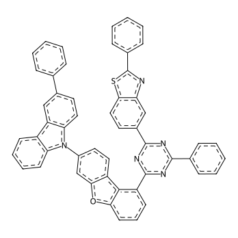 c1ccc(-c2ccc3c(c2)c2ccccc2n3-c2ccc3c(c2)oc2cccc(-c4nc(-c5ccccc5)nc(-c5ccc6sc(-c7ccccc7)nc6c5)n4)c23)cc1